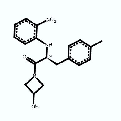 Cc1ccc(C[C@H](Nc2ccccc2[N+](=O)[O-])C(=O)N2CC(O)C2)cc1